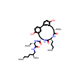 CNCCC[C@@H](CNC(=O)[C@H](CNC)NC(=O)[C@@H]1Cc2cc(ccc2O)-c2ccc(O)c(c2)C[C@H](NC)C(=O)N[C@@H](CCCNC)C(=O)N1)NC